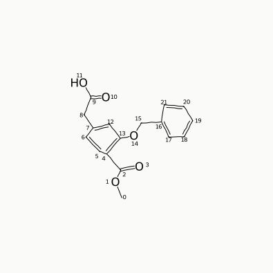 COC(=O)c1ccc(CC(=O)O)cc1OCc1ccccc1